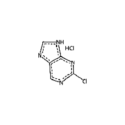 Cl.Clc1ncc2nc[nH]c2n1